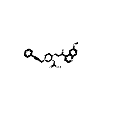 COc1ccc2nccc(C(F)CC[C@@H]3CCN(CC#Cc4ccccc4)C[C@@H]3CC(=O)O)c2c1